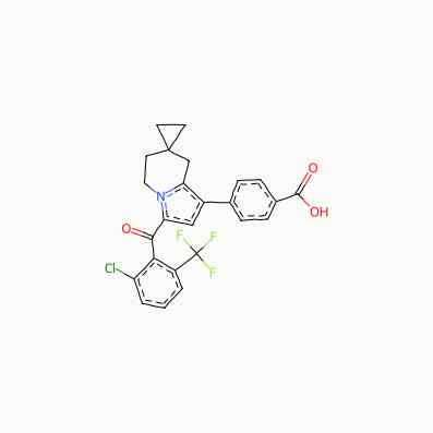 O=C(O)c1ccc(-c2cc(C(=O)c3c(Cl)cccc3C(F)(F)F)n3c2CC2(CC3)CC2)cc1